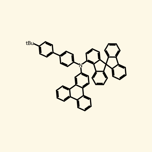 CC(C)(C)c1ccc(-c2ccc(N(c3ccc4c5ccccc5c5ccccc5c4c3)c3cccc4c3-c3ccccc3C43c4ccccc4-c4ccccc43)cc2)cc1